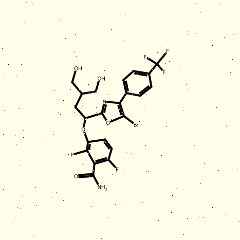 NC(=O)c1c(F)ccc(OC(CC(CO)CO)c2nc(-c3ccc(C(F)(F)F)cc3)c(Br)o2)c1F